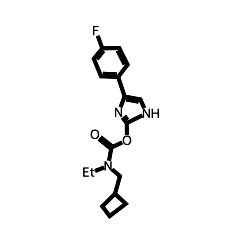 CCN(CC1CCC1)C(=O)Oc1nc(-c2ccc(F)cc2)c[nH]1